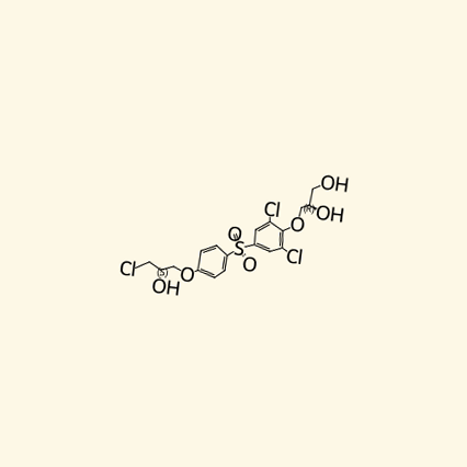 O=S(=O)(c1ccc(OC[C@H](O)CCl)cc1)c1cc(Cl)c(OC[C@H](O)CO)c(Cl)c1